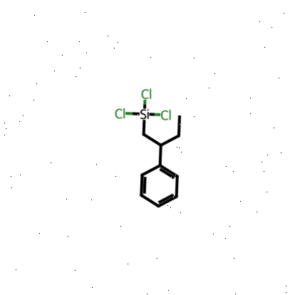 CCC(C[Si](Cl)(Cl)Cl)c1ccccc1